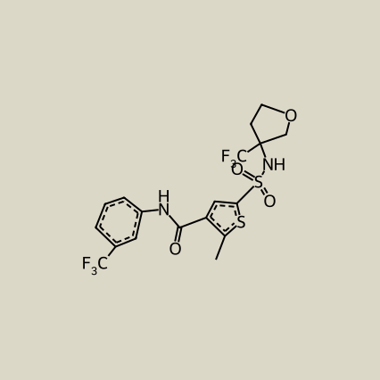 Cc1sc(S(=O)(=O)NC2(C(F)(F)F)CCOC2)cc1C(=O)Nc1cccc(C(F)(F)F)c1